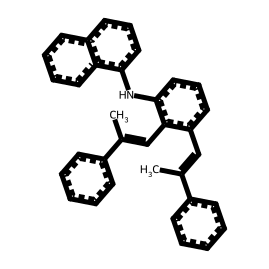 CC(=Cc1cccc(Nc2cccc3ccccc23)c1C=C(C)c1ccccc1)c1ccccc1